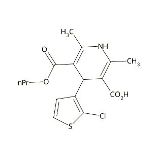 CCCOC(=O)C1=C(C)NC(C)=C(C(=O)O)C1c1ccsc1Cl